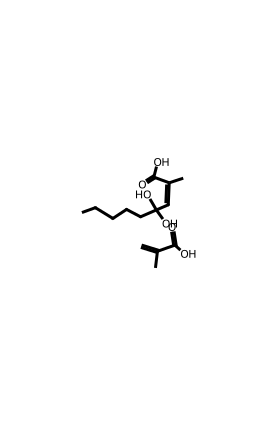 C=C(C)C(=O)O.CCCCCC(O)(O)C=C(C)C(=O)O